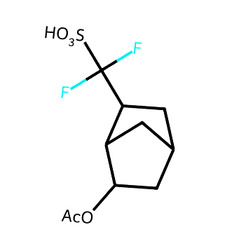 CC(=O)OC1CC2CC1C(C(F)(F)S(=O)(=O)O)C2